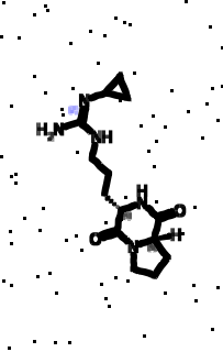 N/C(=N/C1CC1)NCCC[C@@H]1NC(=O)[C@@H]2CCCN2C1=O